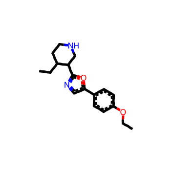 CCOc1ccc(-c2cnc(C3CNCCC3CC)o2)cc1